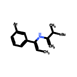 C=C(N/C(=C\C)c1cccc(C(C)=O)c1)C(C)CCCC